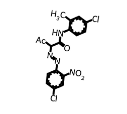 CC(=O)C(/N=N/c1ccc(Cl)cc1[N+](=O)[O-])C(=O)Nc1ccc(Cl)cc1C